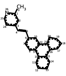 Cc1cc(/C=C/c2ccc3c4ccccc4c4ccccc4c3c2)ccn1